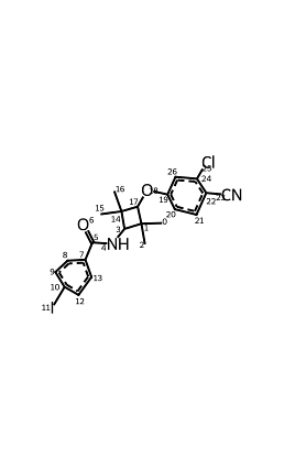 CC1(C)C(NC(=O)c2ccc(I)cc2)C(C)(C)C1Oc1ccc(C#N)c(Cl)c1